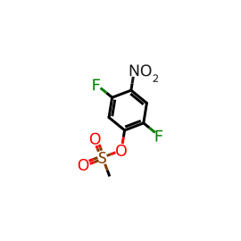 CS(=O)(=O)Oc1cc(F)c([N+](=O)[O-])cc1F